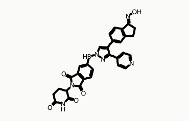 O=C1CCC(N2C(=O)c3ccc(Bn4cc(-c5ccc6c(c5)CC/C6=N\O)c(-c5ccncc5)n4)cc3C2=O)C(=O)N1